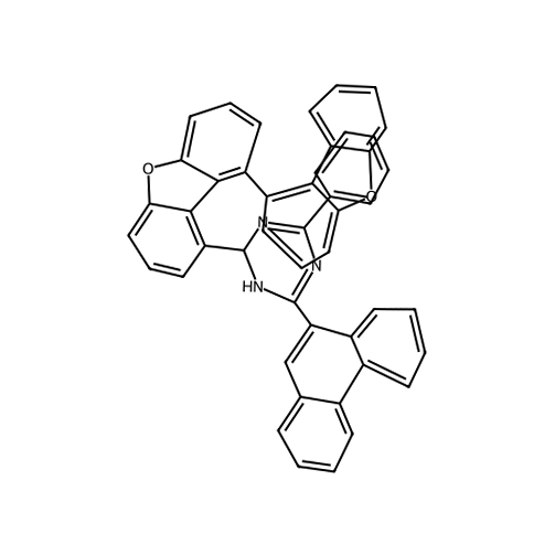 c1ccc(C2=NC(c3cccc4oc5cccc(-c6cccc7oc8ccccc8c67)c5c34)NC(c3cc4ccccc4c4ccccc34)=N2)cc1